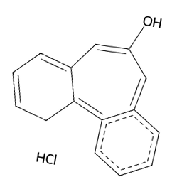 Cl.OC1=CC2=CC=CCC2=c2ccccc2=C1